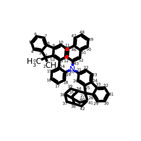 CC1(C)c2ccccc2-c2cccc(-c3ccccc3N(c3ccc4c(c3)C3(c5ccccc5-4)C4CC5CC(C4)CC3C5)c3ccc4ccccc4c3)c21